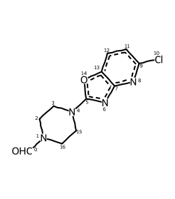 O=CN1CCN(c2nc3nc(Cl)ccc3o2)CC1